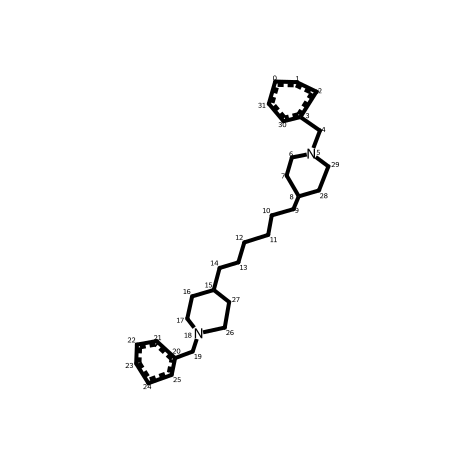 c1ccc(CN2CCC(CCCCCCC3CCN(Cc4ccccc4)CC3)CC2)cc1